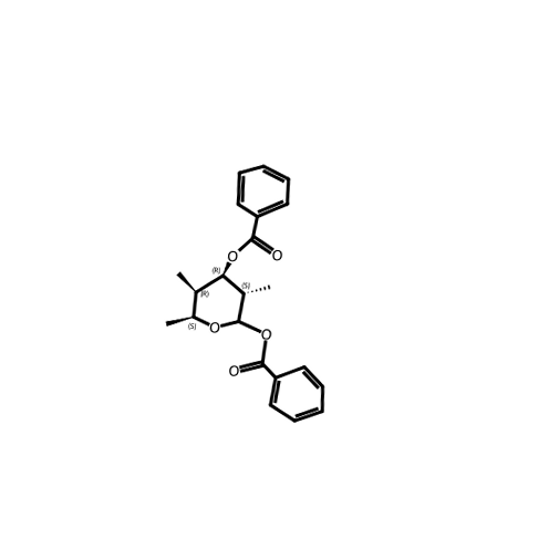 C[C@H]1[C@@H](OC(=O)c2ccccc2)[C@H](C)C(OC(=O)c2ccccc2)O[C@H]1C